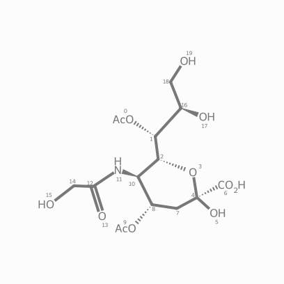 CC(=O)O[C@@H]([C@@H]1O[C@](O)(C(=O)O)C[C@H](OC(C)=O)[C@H]1NC(=O)CO)[C@H](O)CO